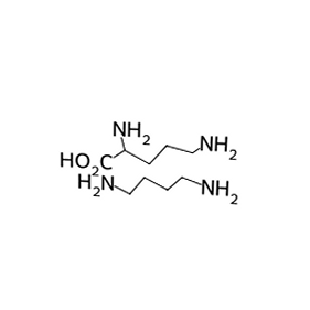 NCCCC(N)C(=O)O.NCCCCN